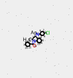 CC(=O)N(c1ccc(Cl)cc1)C1CC(C)N(C(=O)c2[c]cccc2)c2ccccc21